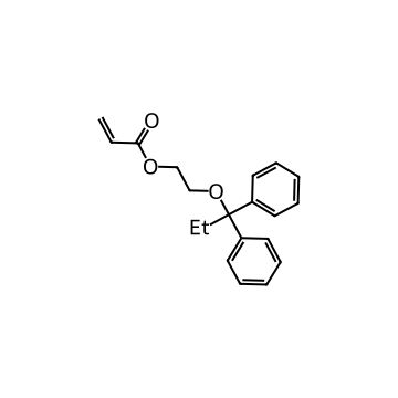 C=CC(=O)OCCOC(CC)(c1ccccc1)c1ccccc1